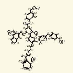 CCC(COC1CN(C(=O)Cc2ccc(CO)cc2)CC(OCc2cc(OC)c3ccccc3c2)C1c1ccc(OCCCOCc2ccccc2O)cc1)OC(=O)Cc1ccc(CO)cc1